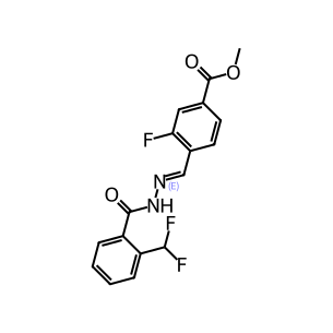 COC(=O)c1ccc(/C=N/NC(=O)c2ccccc2C(F)F)c(F)c1